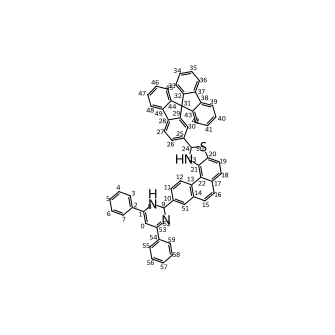 C1=C(c2ccccc2)NC(c2ccc3c(ccc4ccc5c(c43)NC(c3ccc4c(c3)C3(c6ccccc6-c6ccccc63)c3ccccc3-4)S5)c2)N=C1c1ccccc1